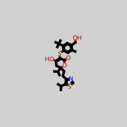 Cc1cc(SC2=C(O)CC(CCc3ncsc3C(C)C)(C(C)C)OC2=O)c(C(C)(C)C)cc1CO